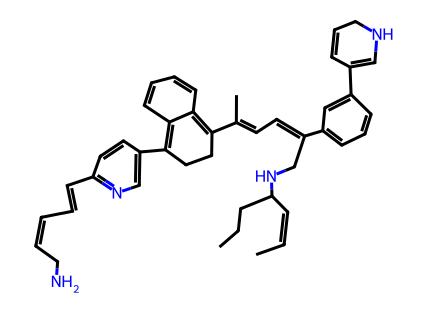 C/C=C\C(CCC)NC/C(=C\C=C(/C)C1=c2ccccc2=C(c2ccc(/C=C/C=C\CN)nc2)CC1)c1cccc(C2=CNCC=C2)c1